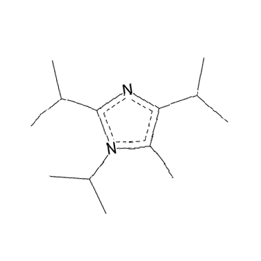 Cc1c(C(C)C)nc(C(C)C)n1C(C)C